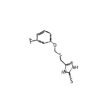 Fc1cccc(OCSCc2n[nH]c(=S)[nH]2)c1